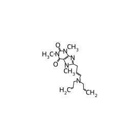 C=CCN(C=CCc1nc2c(c(=O)n(C)c(=O)n2C)n1C)CC=C